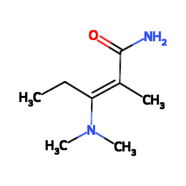 CC/C(=C(/C)C(N)=O)N(C)C